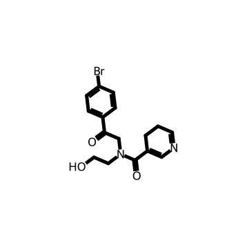 O=C(CN(CCO)C(=O)C1=CN=CCC1)c1ccc(Br)cc1